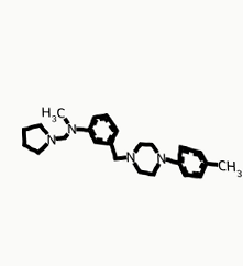 Cc1ccc(N2CCN(Cc3cccc(N(C)CN4CCCC4)c3)CC2)cc1